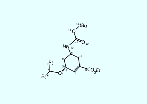 CCOC(=O)C1=C[C@@H](OC(CC)CC)CC(NC(=O)OC(C)(C)C)C1